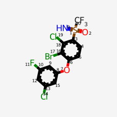 N=S(=O)(c1ccc(Oc2cc(F)cc(Cl)c2)c(Br)c1Cl)C(F)(F)F